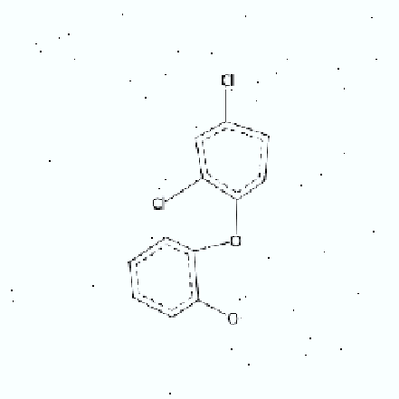 [O]c1ccccc1Oc1ccc(Cl)cc1Cl